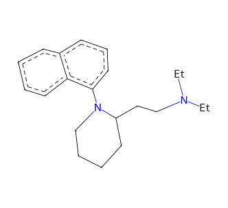 CCN(CC)CCC1CCCCN1c1cccc2ccccc12